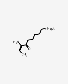 C/C=C(/N)C(=O)CCCCCCCCCCCC